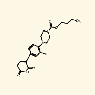 CCCCOC(=O)N1CCN(c2ccc(C3CCC(=O)NC3=O)cc2F)CC1